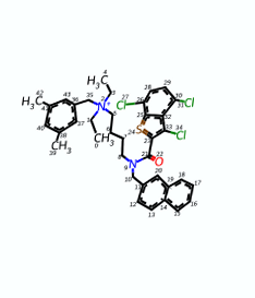 CC[N+](CC)(CCCCN(Cc1ccc2ccccc2c1)C(=O)c1sc2c(Cl)ccc(Cl)c2c1Cl)Cc1cc(C)cc(C)c1